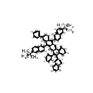 C[Si](C)(C)c1ccc2cc(-c3c4cc(-c5ccccc5)ccc4c(-c4ccc5cc([Si](C)(C)C)ccc5c4)c4cc5c(cc34)c(-c3ccccc3)c(-c3ccc4ccccc4c3)c3ccccc35)ccc2c1